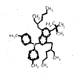 CCCCC(CC)Cc1cc(C(C)(C)C)cc2c(CC(CC)CCCC)cc(N(c3ccc(C)cc3)c3ccc(C)cc3)cc12